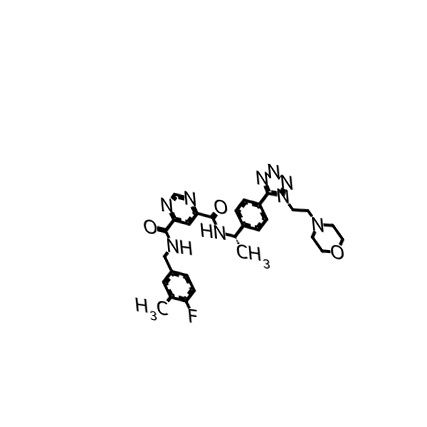 Cc1cc(CNC(=O)c2cc(C(=O)N[C@@H](C)c3ccc(-c4nnnn4CCN4CCOCC4)cc3)ncn2)ccc1F